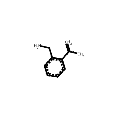 C=C(C)c1ccccc1CN